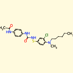 CCCCCCN(C)c1ccc(SNC(=O)Nc2ccc(NC(C)=O)cc2)cc1Cl